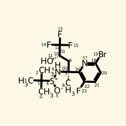 CC(C)(C)[S+]([O-])N[C@@](C)(C[C@H](O)C(F)(F)F)c1nc(Br)ccc1F